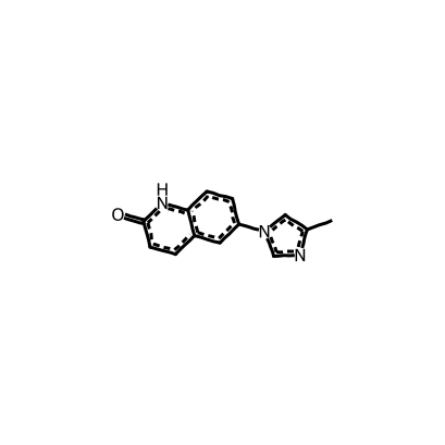 Cc1cn(-c2ccc3[nH]c(=O)ccc3c2)cn1